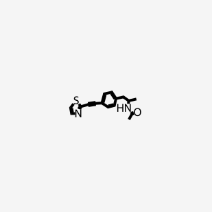 CC(=O)NC(C)Cc1ccc(C#Cc2nccs2)cc1